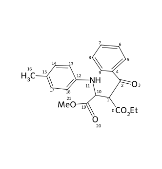 CCOC(=O)C(C(=O)c1ccccc1)C(Nc1ccc(C)cc1)C(=O)OC